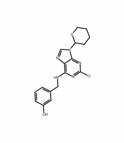 Oc1cccc(CNc2nc(Cl)nc3c2ncn3C2CCCCO2)c1